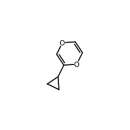 C1=COC(C2CC2)=CO1